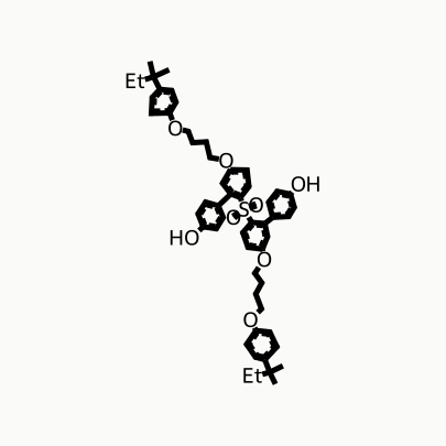 CCC(C)(C)c1ccc(OCCCCOc2ccc(S(=O)(=O)c3ccc(OCCCCOc4ccc(C(C)(C)CC)cc4)cc3-c3ccc(O)cc3)c(-c3ccc(O)cc3)c2)cc1